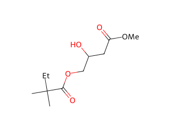 CCC(C)(C)C(=O)OCC(O)CC(=O)OC